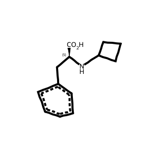 O=C(O)[C@H](Cc1ccccc1)NC1CCC1